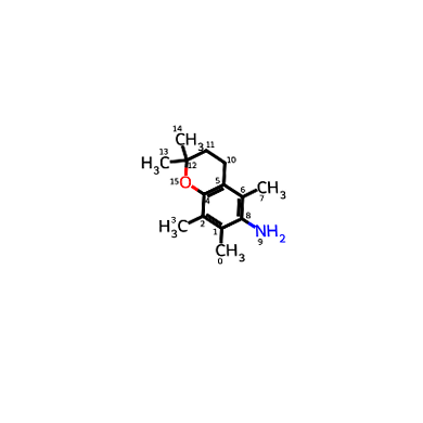 Cc1c(C)c2c(c(C)c1N)CCC(C)(C)O2